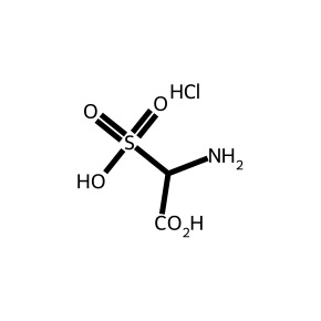 Cl.NC(C(=O)O)S(=O)(=O)O